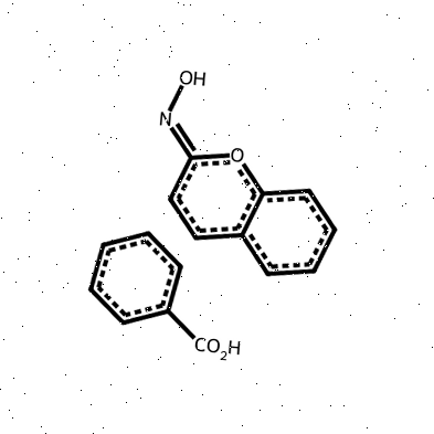 O=C(O)c1ccccc1.ON=c1ccc2ccccc2o1